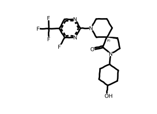 O=C1N(C2CCC(O)CC2)CC[C@@]12CCCN(c1ncc(C(F)(F)F)c(F)n1)C2